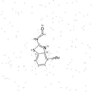 CCCCc1cccc2sc(N=S=O)nc12